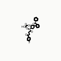 CN(C(=O)CCC(=O)c1ccc(F)cc1)C1CCC2(CC1)O[C@H](c1ccccc1)c1ccccc12.O=C(O)C(=O)O